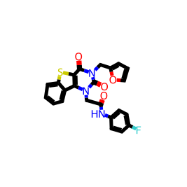 O=C(Cn1c(=O)n(Cc2ccco2)c(=O)c2sc3ccccc3c21)Nc1ccc(F)cc1